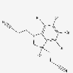 N#CCCN1C[N+]([O-])(CCC#N)c2c(Br)c(Br)c(Br)c(Br)c21